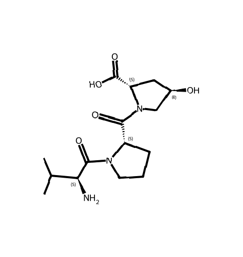 CC(C)[C@H](N)C(=O)N1CCC[C@H]1C(=O)N1C[C@H](O)C[C@H]1C(=O)O